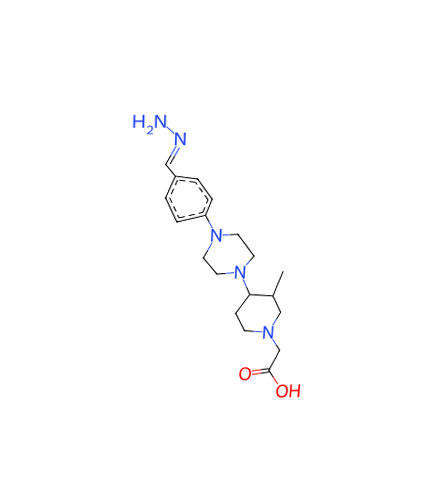 CC1CN(CC(=O)O)CCC1N1CCN(c2ccc(C=NN)cc2)CC1